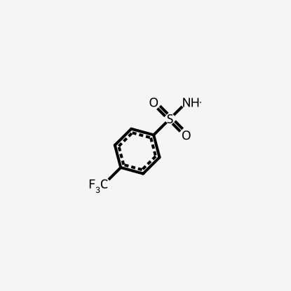 [NH]S(=O)(=O)c1ccc(C(F)(F)F)cc1